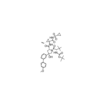 C=C[C@@H]1C[C@]1(NC(=O)[C@@H]1C[C@@](O)(c2cccc(-c3ccc(OC)cc3)c2)CN1C(=O)[C@@H](NC(=O)OC(C)(C)C)C(C)(C)C)C(=O)NS(=O)(=O)C1CC1